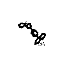 Cc1ccc(-c2ccc(-c3ccc4oc5ccccc5c4c3)cc2)c2ccccc12